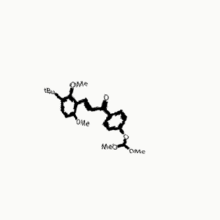 COc1ccc(C(C)(C)C)c(OC)c1C=CC(=O)c1ccc(OC(OC)OC)cc1